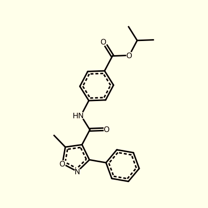 Cc1onc(-c2ccccc2)c1C(=O)Nc1ccc(C(=O)OC(C)C)cc1